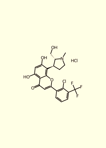 CN1CC[C@@H](c2c(O)cc(O)c3c(=O)cc(-c4cccc(C(F)(F)F)c4Cl)oc23)[C@@H]1CO.Cl